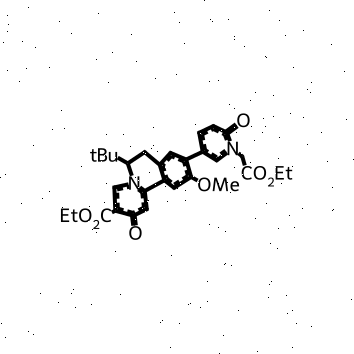 CCOC(=O)Cn1cc(-c2cc3c(cc2OC)-c2cc(=O)c(C(=O)OCC)cn2C(C(C)(C)C)C3)ccc1=O